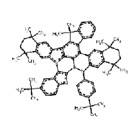 CC(C)(C)c1ccc(N2B3c4oc5ccc(C(C)(C)C)cc5c4-n4c5cc6c(cc5c5c7c(c(c3c54)-c3cc4c(cc32)C(C)(C)CCC4(C)C)-c2ccccc2C7(C)C)C(C)(C)CCC6(C)C)cc1